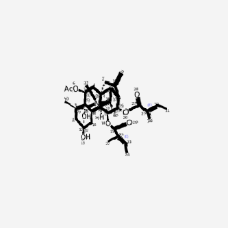 C=C1C[C@@]23C[C@H](OC(C)=O)[C@]4(O)[C@@]5(C)C[C@H](O)C[C@@]46[C@@H]2[C@H](OC(=O)/C(C)=C/C)[C@@H](OC(=O)/C(C)=C/C)C1C3[C@H]6N(C)C5